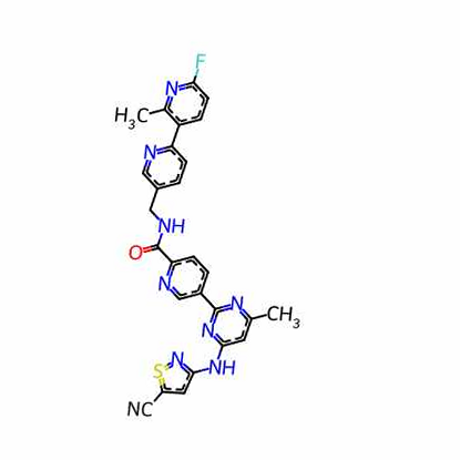 Cc1cc(Nc2cc(C#N)sn2)nc(-c2ccc(C(=O)NCc3ccc(-c4ccc(F)nc4C)nc3)nc2)n1